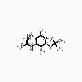 C[C@H]1O[C@@H](OC(C)(C)C)[C@@H](O)[C@@H](NC(=N)N)[C@@H]1O